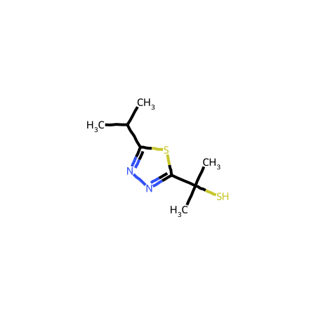 CC(C)c1nnc(C(C)(C)S)s1